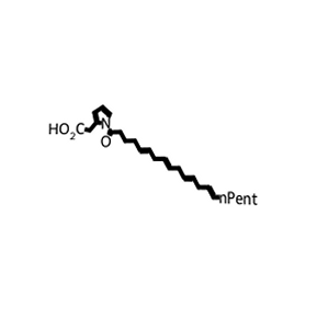 CCCCC/C=C/C/C=C/C/C=C/C/C=C/CCCC(=O)n1cccc1CC(=O)O